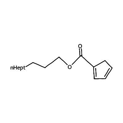 CCCCCCCCCCOC(=O)C1=CC=CC1